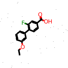 CCOc1cccc(-c2ccc(C(=O)O)cc2F)c1